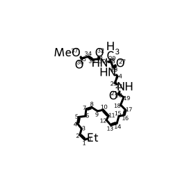 CC/C=C\C/C=C\C/C=C\C/C=C\C/C=C\C/C=C\CCC(=O)NCCNC(=O)[C@H](C)NC(=O)/C=C/C(=O)OC